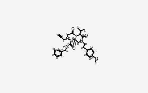 C#CCN1CC(=O)N2[C@@H](C(C)C)C(=O)N(CCc3ccc(OC)cc3)C[C@@H]2N1C(=O)NCc1ccccc1